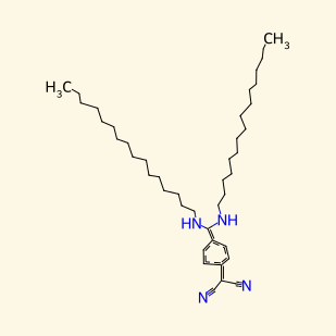 CCCCCCCCCCCCCCCCNC(NCCCCCCCCCCCCCCCC)=c1ccc(=C(C#N)C#N)cc1